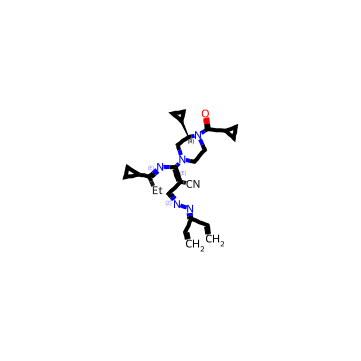 C=CC(C=C)=N\N=C/C(C#N)=C(\N=C(/CC)C1CC1)N1CCN(C(=O)C2CC2)[C@H](C2CC2)C1